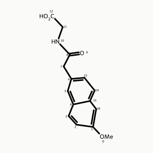 COc1ccc2cc(CC(=O)NCC(=O)O)ccc2c1